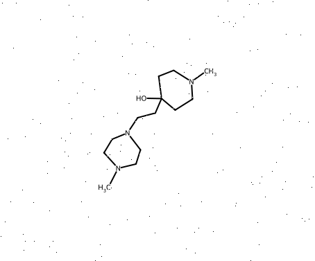 CN1CCN(CCC2(O)CCN(C)CC2)CC1